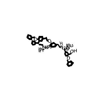 CC(C)N(CC[C@H](c1ccccc1)c1cc(CCOc2cccc(CCNC[C@H](O[Si](C)(C)C(C)(C)C)c3ccc(OCc4ccccc4)c(CO)c3)c2)ccc1OCc1ccccc1)C(C)C